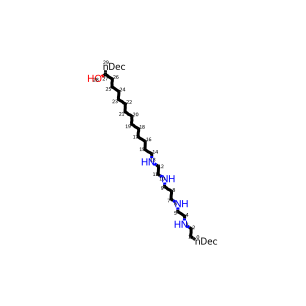 CCCCCCCCCCCCNCCNCCCNCCNCCCCCCCCCCCCCC(O)CCCCCCCCCC